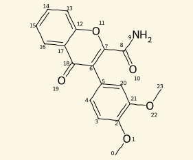 COc1ccc(-c2c(C(N)=O)oc3ccccc3c2=O)cc1OC